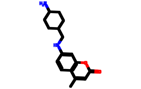 Cc1cc(=O)oc2cc(NCC3CCC(N)CC3)ccc12